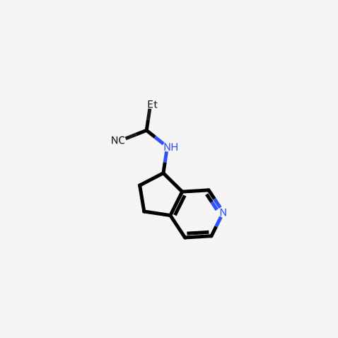 CCC(C#N)NC1CCc2ccncc21